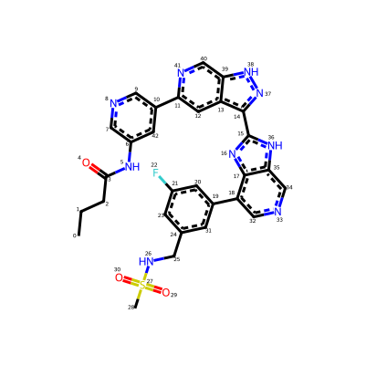 CCCC(=O)Nc1cncc(-c2cc3c(-c4nc5c(-c6cc(F)cc(CNS(C)(=O)=O)c6)cncc5[nH]4)n[nH]c3cn2)c1